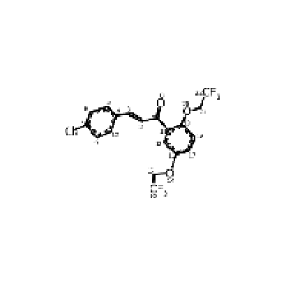 O=C(C=Cc1ccc(Cl)cc1)c1cc(OCC(F)(F)F)ccc1OCC(F)(F)F